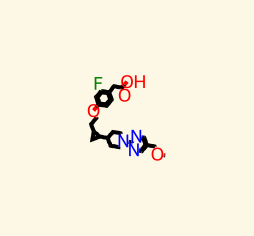 COCc1cnc(N2CCC(C3CC3CCOc3ccc(CC(=O)O)c(F)c3)CC2)nc1